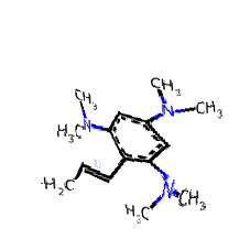 [CH2]/C=C/c1c(N(C)C)cc(N(C)C)cc1N(C)C